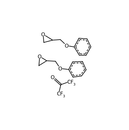 O=C(C(F)(F)F)C(F)(F)F.c1ccc(OCC2CO2)cc1.c1ccc(OCC2CO2)cc1